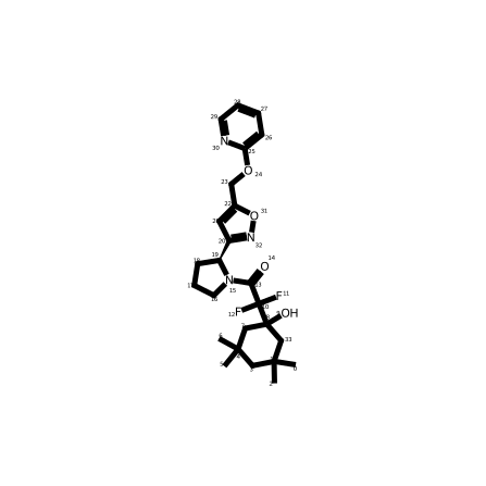 CC1(C)CC(C)(C)CC(O)(C(F)(F)C(=O)N2CCC[C@H]2c2cc(COc3ccccn3)on2)C1